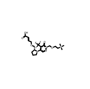 C[Si](C)(C)CCOCn1ncc(N2CCC[C@H]2COC/C=C/C(=O)O)c(C(F)(F)F)c1=O